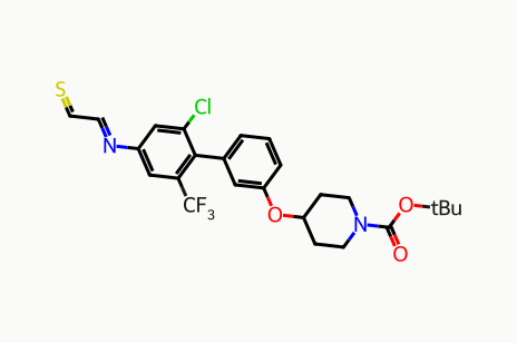 CC(C)(C)OC(=O)N1CCC(Oc2cccc(-c3c(Cl)cc(N=CC=S)cc3C(F)(F)F)c2)CC1